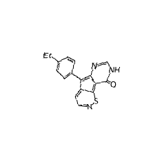 CCc1ccc(-c2c3ccnsc-3c3c(=O)[nH]cnc23)cc1